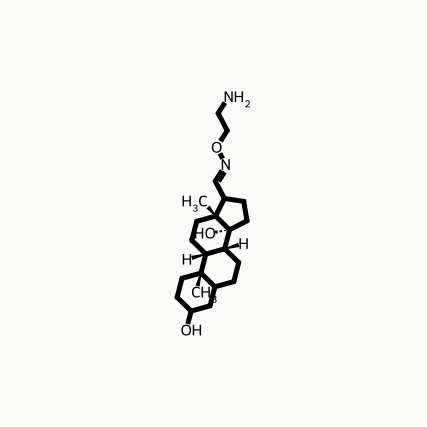 C[C@]12CCC(O)CC1CC[C@@H]1[C@H]2CC[C@]2(C)C(C=NOCCN)CC[C@@]12O